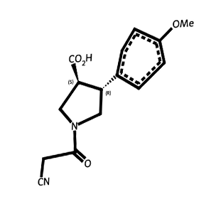 COc1ccc([C@@H]2CN(C(=O)CC#N)C[C@H]2C(=O)O)cc1